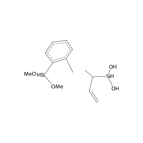 C=CC(C)[SiH](O)O.CO[SiH](OC)c1ccccc1C